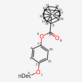 CCCCCCCCCCOc1ccc(OC(=O)[C]23[CH]4[CH]5[CH]6[CH]2[Fe]56432789[CH]3[CH]2[CH]7[CH]8[CH]39)cc1